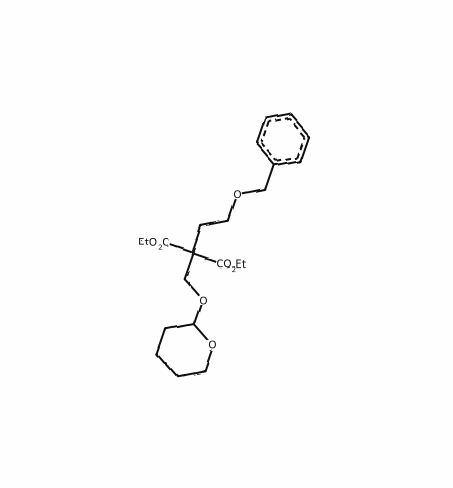 CCOC(=O)C(CCOCc1ccccc1)(COC1CCCCO1)C(=O)OCC